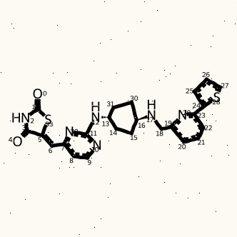 O=C1NC(=O)C(=Cc2ccnc(N[C@H]3CC[C@H](NCc4cccc(-c5cccs5)n4)CC3)n2)S1